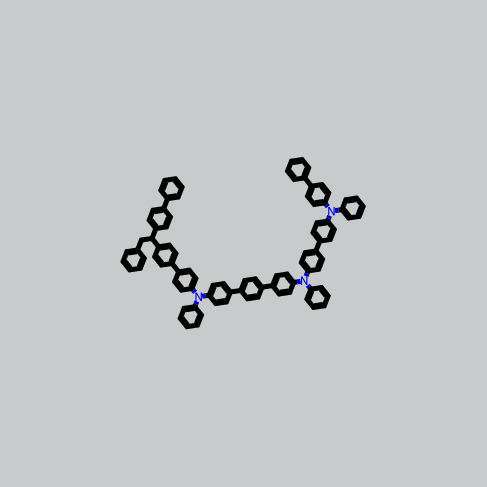 c1ccc(CC(c2ccc(-c3ccccc3)cc2)c2ccc(-c3ccc(N(c4ccccc4)c4ccc(-c5ccc(-c6ccc(N(c7ccccc7)c7ccc(-c8ccc(N(c9ccccc9)c9ccc(-c%10ccccc%10)cc9)cc8)cc7)cc6)cc5)cc4)cc3)cc2)cc1